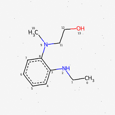 CCNc1ccccc1N(C)CCO